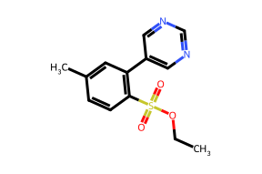 CCOS(=O)(=O)c1ccc(C)cc1-c1cncnc1